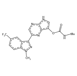 Cn1nc(-c2cnc3[nH]cc(OC(=O)NC(C)(C)C)c3n2)c2cc(C(F)(F)F)ccc21